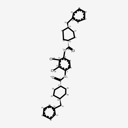 O=C(Oc1ccc(OC(=O)[C@H]2CC[C@H](Cc3ccccc3)CC2)c(Cl)c1Cl)[C@H]1CC[C@H](Cc2ccccc2)CC1